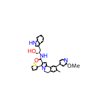 COc1cc(-c2cc3c(cc2C)CCn2c-3cc(C(=O)N[C@@H](CO)Cc3c[nH]c4ccccc34)c2-c2cccs2)ccn1